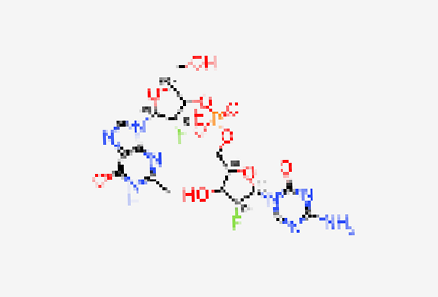 Cc1nc2c(ncn2[C@@H]2O[C@H](CO)C(OP(=O)(O)OC[C@H]3O[C@@H](n4cnc(N)nc4=O)[C@@H](F)C3O)[C@@H]2F)c(=O)[nH]1